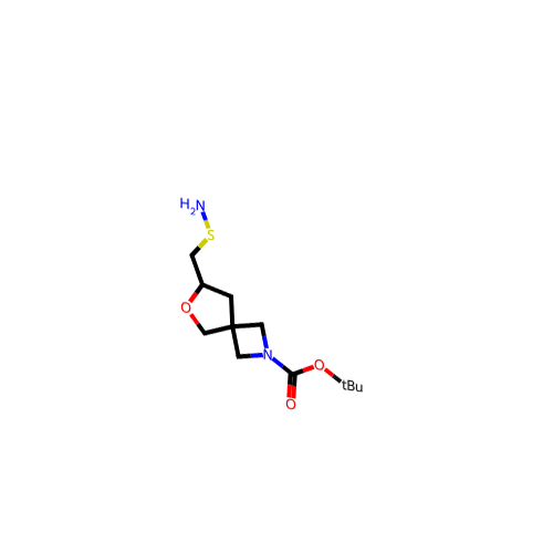 CC(C)(C)OC(=O)N1CC2(COC(CSN)C2)C1